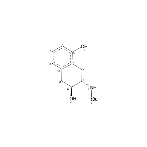 CC(C)(C)N[C@H]1Cc2c(O)cccc2C[C@@H]1O